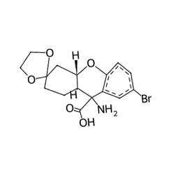 NC1(C(=O)O)c2cc(Br)ccc2O[C@H]2CC3(CC[C@@H]21)OCCO3